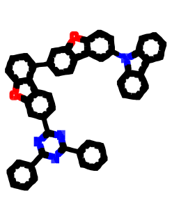 c1ccc(-c2nc(-c3ccccc3)nc(-c3ccc4c(c3)oc3cccc(-c5ccc6c(c5)oc5ccc(-n7c8ccccc8c8ccccc87)cc56)c34)n2)cc1